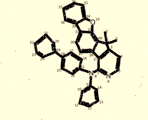 CC1(C)c2ccnc(N(c3ccccc3)c3ccc(-c4ccccc4)cc3)c2-c2ccc3c(oc4ccccc43)c21